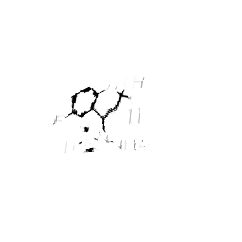 CCS(=O)(=O)N(NC(C)=O)C1CC(C)(C)Oc2ccc(F)cc21